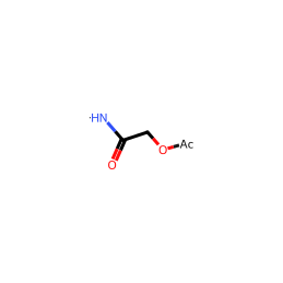 CC(=O)OCC([NH])=O